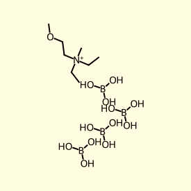 CC[N+](C)(CC)CCOC.OB(O)O.OB(O)O.OB(O)O.OB(O)O